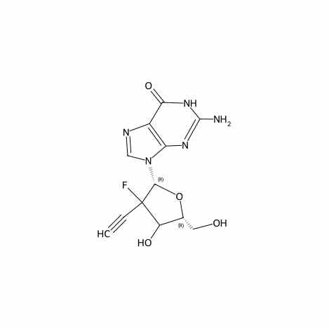 C#CC1(F)C(O)[C@@H](CO)O[C@H]1n1cnc2c(=O)[nH]c(N)nc21